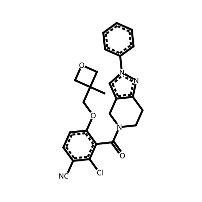 CC1(COc2ccc(C#N)c(Cl)c2C(=O)N2CCc3nn(-c4ccccc4)cc3C2)COC1